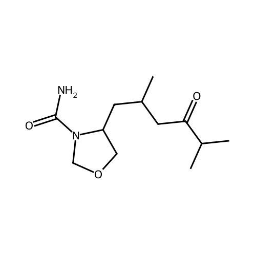 CC(CC(=O)C(C)C)CC1COCN1C(N)=O